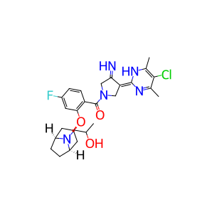 CC1=N/C(=C2\CN(C(=O)c3ccc(F)cc3O[C@H]3C[C@H]4CC[C@@H](C3)N4CC(C)O)CC2=N)NC(C)=C1Cl